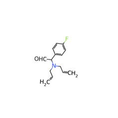 C=CCN(CC=C)C(C=O)c1ccc(F)cc1